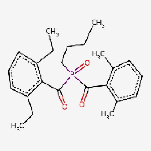 CCCCP(=O)(C(=O)c1c(C)cccc1C)C(=O)c1c(CC)cccc1CC